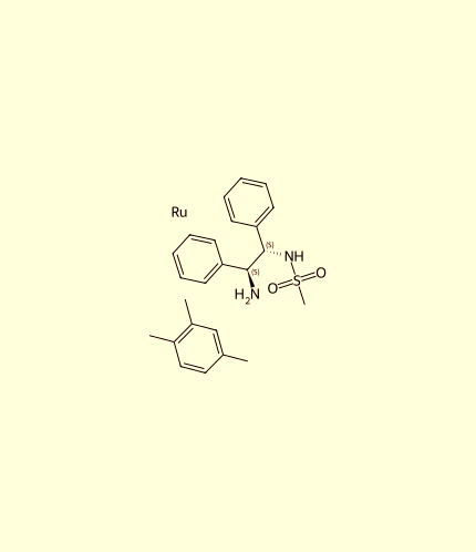 CS(=O)(=O)N[C@@H](c1ccccc1)[C@@H](N)c1ccccc1.Cc1ccc(C)c(C)c1.[Ru]